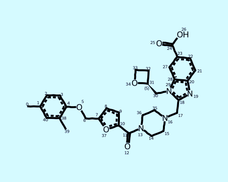 Cc1ccc(OCc2ccc(C(=O)N3CCN(Cc4nc5ccc(C(=O)O)cc5n4C[C@@H]4CCO4)CC3)o2)c(C)c1